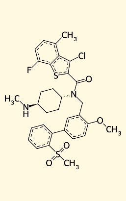 CN[C@H]1CC[C@H](N(Cc2cc(-c3ccccc3S(C)(=O)=O)ccc2OC)C(=O)c2sc3c(F)ccc(C)c3c2Cl)CC1